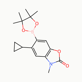 Cn1c(=O)oc2cc(B3OC(C)(C)C(C)(C)O3)c(C3CC3)cc21